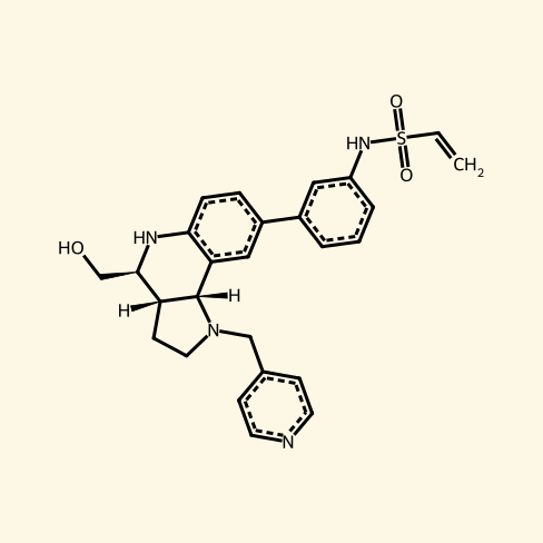 C=CS(=O)(=O)Nc1cccc(-c2ccc3c(c2)[C@H]2[C@H](CCN2Cc2ccncc2)[C@@H](CO)N3)c1